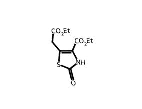 CCOC(=O)Cc1sc(=O)[nH]c1C(=O)OCC